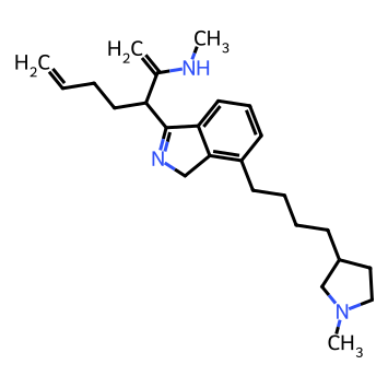 C=CCCC(C(=C)NC)C1=NCc2c(CCCCC3CCN(C)C3)cccc21